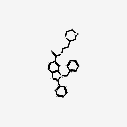 O=C(NCCC1CNCCO1)c1ccc2nc(-c3ccccc3)n(Cc3ccccc3)c2c1